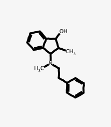 CC1C(O)c2ccccc2C1N(C)CCc1ccccc1